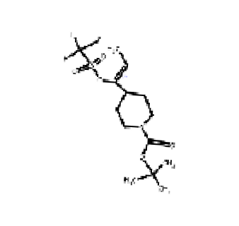 C/C=C(\OS(=O)(=O)C(F)(F)F)C1CCN(C(=O)OC(C)(C)C)CC1